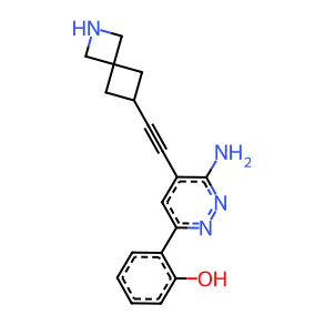 Nc1nnc(-c2ccccc2O)cc1C#CC1CC2(CNC2)C1